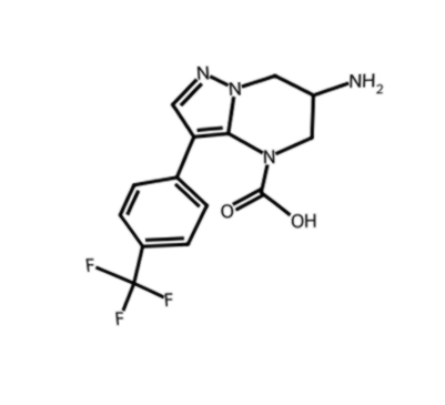 NC1CN(C(=O)O)c2c(-c3ccc(C(F)(F)F)cc3)cnn2C1